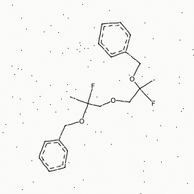 CC(F)(COCC(C)(F)OCc1ccccc1)OCc1ccccc1